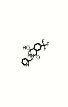 O=C(O)c1ccc(C(F)(F)F)cc1C(=O)NCc1ccccn1